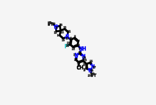 Cc1cnc(Nc2ccc(N3CCC4(CC3)CN(C(C)C)C4)c(F)c2)nc1-c1cnn(C(C)C)c1